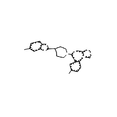 Cc1ccc2oc(C3CCN(c4nc5nncn5c5ccc(Cl)cc45)CC3)nc2c1